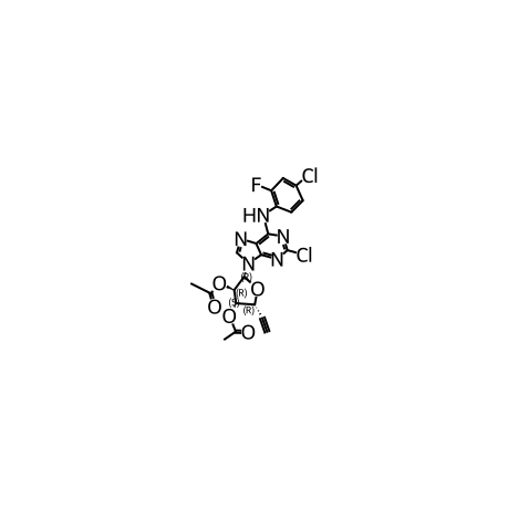 C#C[C@H]1O[C@@H](n2cnc3c(Nc4ccc(Cl)cc4F)nc(Cl)nc32)[C@H](OC(C)=O)[C@H]1OC(C)=O